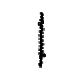 CCCCCOC(=O)CCCCCCCCCCCCCCCCC(=O)OCCCCC